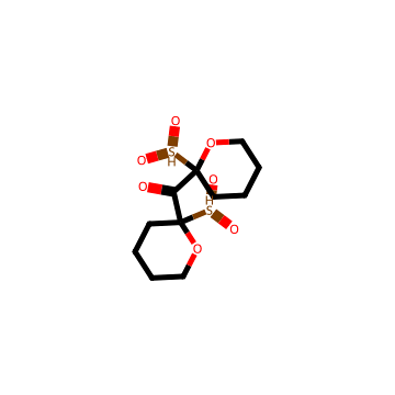 O=C(C1([SH](=O)=O)CCCCO1)C1([SH](=O)=O)CCCCO1